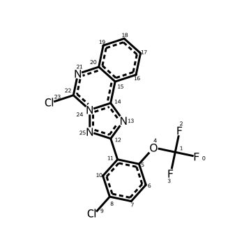 FC(F)(F)Oc1ccc(Cl)cc1-c1nc2c3ccccc3nc(Cl)n2n1